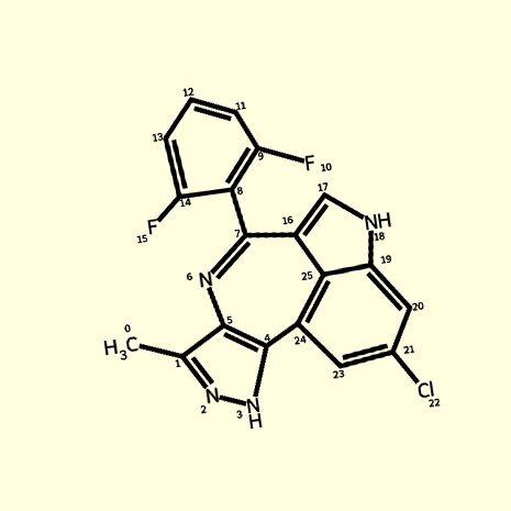 Cc1n[nH]c2c1N=C(c1c(F)cccc1F)c1c[nH]c3cc(Cl)cc-2c13